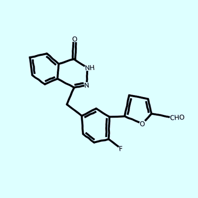 O=Cc1ccc(-c2cc(Cc3n[nH]c(=O)c4ccccc34)ccc2F)o1